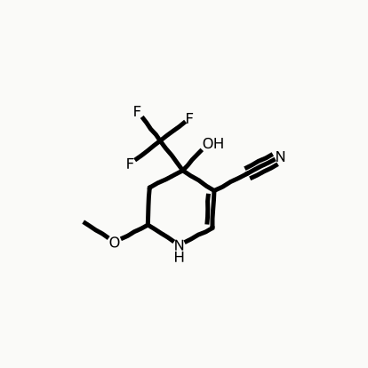 COC1CC(O)(C(F)(F)F)C(C#N)=CN1